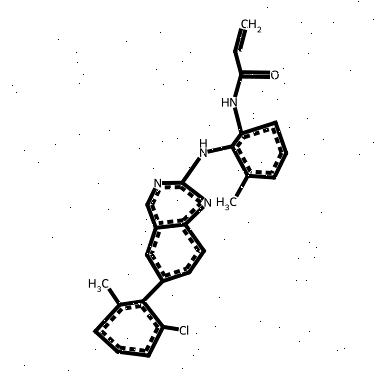 C=CC(=O)Nc1cccc(C)c1Nc1ncc2cc(-c3c(C)cccc3Cl)ccc2n1